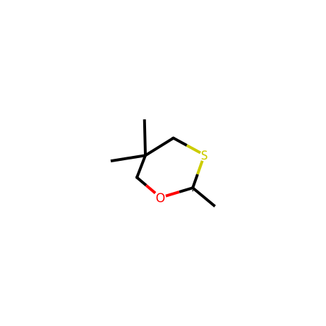 C[C]1OCC(C)(C)CS1